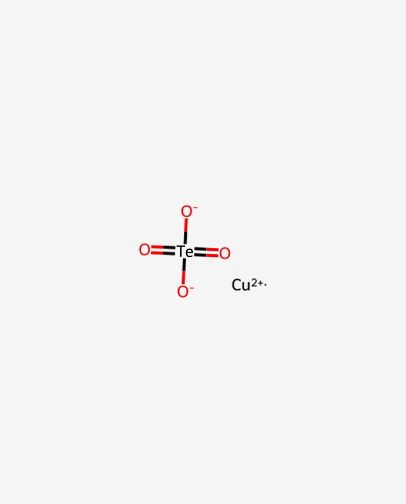 O=[Te](=O)([O-])[O-].[Cu+2]